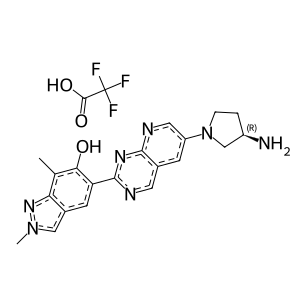 Cc1c(O)c(-c2ncc3cc(N4CC[C@@H](N)C4)cnc3n2)cc2cn(C)nc12.O=C(O)C(F)(F)F